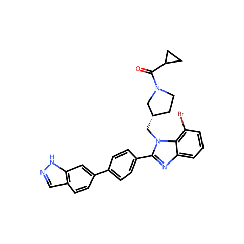 O=C(C1CC1)N1CC[C@H](Cn2c(-c3ccc(-c4ccc5cn[nH]c5c4)cc3)nc3cccc(Br)c32)C1